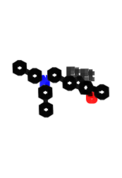 CCC1(CC)c2cc(-c3cccc(N(c4ccc(-c5ccccc5)cc4)c4ccc(-c5ccccc5)cc4)c3)ccc2-c2cc3oc4ccccc4c3cc21